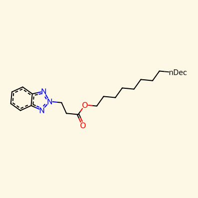 CCCCCCCCCCCCCCCCCCOC(=O)CCn1nc2ccccc2n1